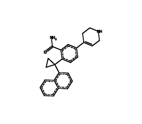 NC(=O)c1cc(C2=CCNCC2)ccc1C1(c2cccc3ccccc23)CC1